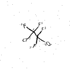 [O]C(F)(F)C(F)(F)Cl